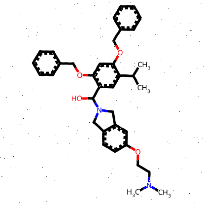 CC(C)c1cc(C(O)N2Cc3ccc(OCCN(C)C)cc3C2)c(OCc2ccccc2)cc1OCc1ccccc1